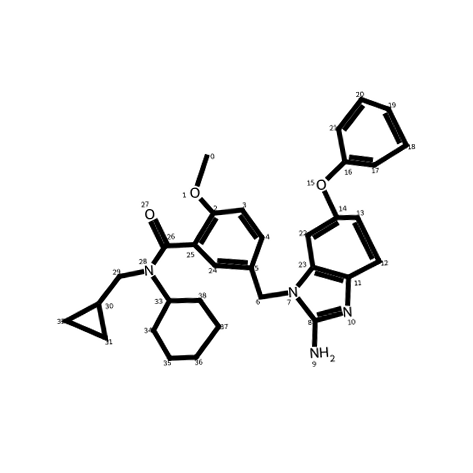 COc1ccc(Cn2c(N)nc3ccc(Oc4ccccc4)cc32)cc1C(=O)N(CC1CC1)C1CCCCC1